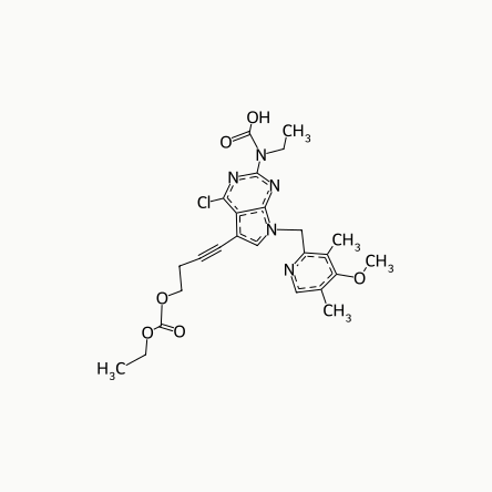 CCOC(=O)OCCC#Cc1cn(Cc2ncc(C)c(OC)c2C)c2nc(N(CC)C(=O)O)nc(Cl)c12